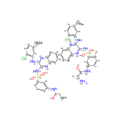 CNCC(=O)Nc1cccc(S(=O)(=O)Nc2nc3ccccc3nc2Nc2cc(OC)ccc2Cl)c1.COc1ccc(Cl)c(Nc2nc3ccccc3nc2NS(=O)(=O)c2cc(NC(=O)[C@@H](C)N)ccc2C)c1